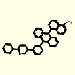 Cc1cccc2c1=CCCC=2C1=c2ccccc2=C(C2=CC(C3C=CC(C4C=CC=CC4)=NC3)=CCC2)C2C=CC=CC12